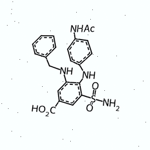 CC(=O)Nc1ccc(Nc2c(NCc3ccccc3)cc(C(=O)O)cc2S(N)(=O)=O)cc1